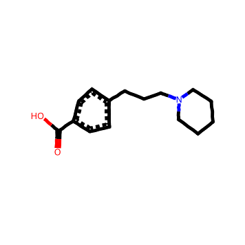 O=C(O)c1ccc(CCCN2CCCCC2)cc1